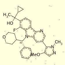 COc1cnn(C)c1-c1cnc2c3ccc(C(C)(O)C4CC4)c(F)c3n([C@H](c3ccccc3)C3CCOCC3)c2c1